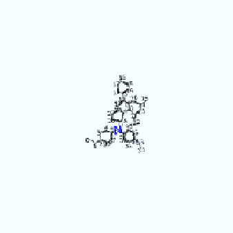 CCc1ccc(N(c2ccc(C=C(c3ccccc3)c3cc(C)cc(C)c3)cc2)c2ccc(CC)cc2)cc1